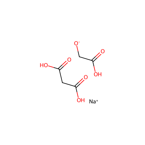 O=C(O)CC(=O)O.O=C(O)C[O-].[Na+]